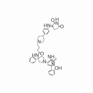 Nc1nnc(-c2ccccc2O)cc1N1CCC(NC(=O)CCCN2CCC(c3ccc(N[C@H]4CCC(=O)NC4=O)cc3)CC2)(c2ccccc2)CC1